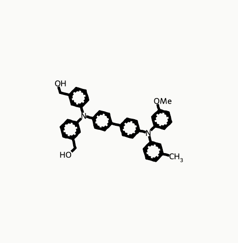 COc1cccc(N(c2ccc(-c3ccc(N(c4cccc(CO)c4)c4cccc(CO)c4)cc3)cc2)c2cccc(C)c2)c1